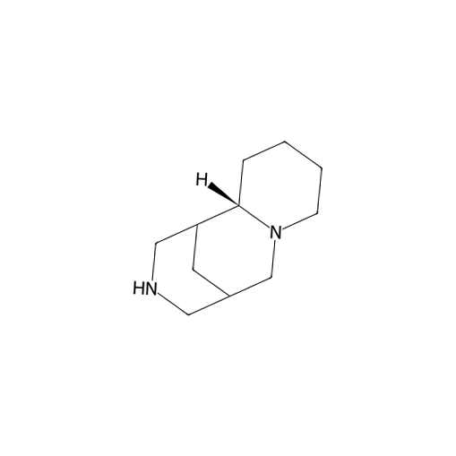 C1CCN2CC3CNCC(C3)[C@@H]2C1